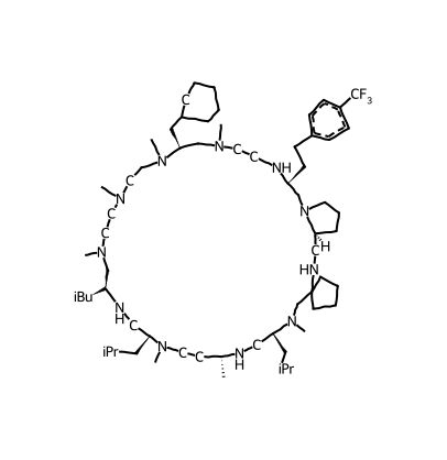 CC[C@H](C)[C@H]1CN(C)CCN(C)CCN(C)[C@@H](CC2CCCCC2)CN(C)CCN[C@@H](CCc2ccc(C(F)(F)F)cc2)CN2CCC[C@H]2CNC2(CCCC2)CN(C)[C@@H](CC(C)C)CN[C@H](C)CCN(C)[C@@H](CC(C)C)CN1